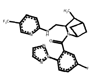 CC1C2CC(C2)N(C(=O)c2cc(F)ccc2-n2nccn2)C1CNc1ccc(C(F)(F)F)cn1